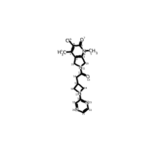 Cc1c2c(n(C)c(=O)c1Cl)CN(C(=O)CC1CN(c3cnccn3)C1)C2